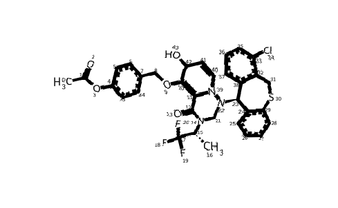 CC(=O)Oc1ccc(COC2=C3C(=O)N([C@H](C)C(F)(F)F)CN([C@@H]4c5ccccc5SCc5c(Cl)cccc54)N3C=CC2O)cc1